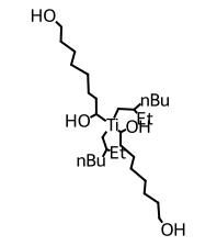 CCCCC(CC)[CH2][Ti]([CH2]C(CC)CCCC)([CH](O)CCCCCCCO)[CH](O)CCCCCCCO